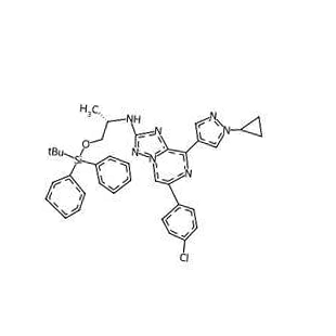 C[C@@H](CO[Si](c1ccccc1)(c1ccccc1)C(C)(C)C)Nc1nc2c(-c3cnn(C4CC4)c3)nc(-c3ccc(Cl)cc3)cn2n1